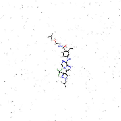 CCc1cc(Nc2nccn3c(-c4cn(CC(C)C)nc4C(F)(F)F)cnc23)ccc1C(=O)NCCOCC(C)C